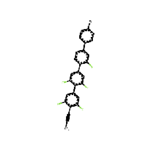 CCc1ccc(-c2ccc(-c3cc(F)c(-c4cc(F)c(C#CC(F)(F)F)c(F)c4)c(F)c3)c(F)c2)cc1